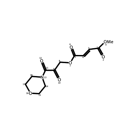 COC(=O)C=CC(=O)OCC(=O)C(=O)N1CCOCC1